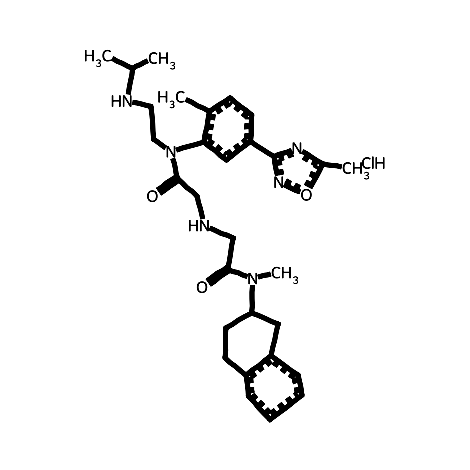 Cc1nc(-c2ccc(C)c(N(CCNC(C)C)C(=O)CNCC(=O)N(C)C3CCc4ccccc4C3)c2)no1.Cl